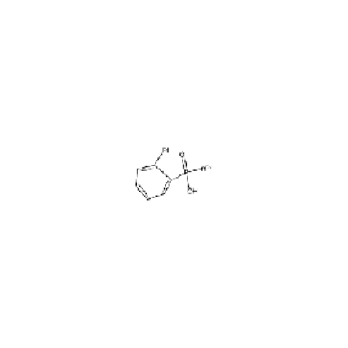 CCCP(=O)(O)c1ccccc1CC